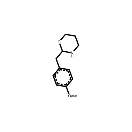 COc1ccc(CC2NCCCO2)cc1